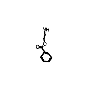 [NH]CCOC(=O)c1ccccc1